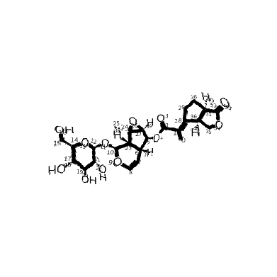 C/C(C(=O)O[C@H]1[C@@H]2C=CO[C@@H](O[C@@H]3O[C@H](CO)[C@@H](O)[C@H](O)[C@H]3O)[C@@H]2[C@@]2(C)O[C@@H]12)=C1/CC[C@H]2C(=O)OC[C@@H]12